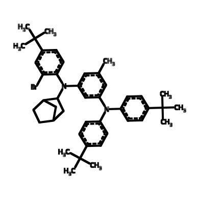 Cc1cc(N(c2ccc(C(C)(C)C)cc2)c2ccc(C(C)(C)C)cc2)cc(N(c2ccc(C(C)(C)C)cc2Br)C2CC3CCC2C3)c1